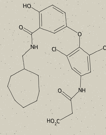 O=C(O)CC(=O)Nc1cc(Cl)c(Oc2ccc(O)c(C(=O)NCC3CCCCCCC3)c2)c(Cl)c1